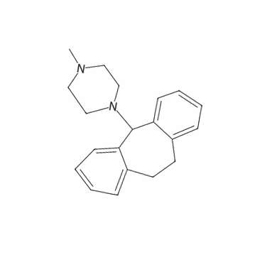 CN1CCN(C2c3ccccc3CCc3ccccc32)CC1